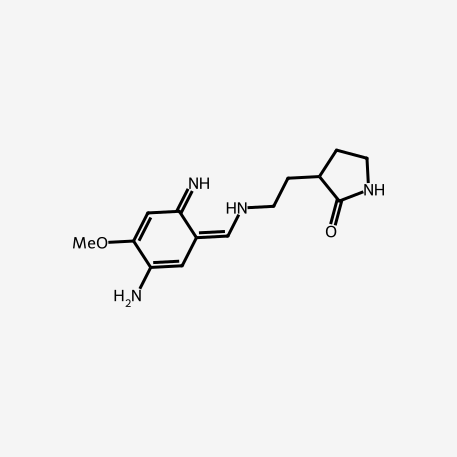 COC1=CC(=N)/C(=C\NCCC2CCNC2=O)C=C1N